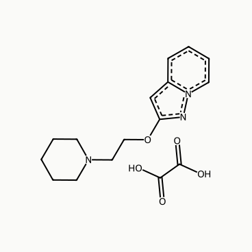 O=C(O)C(=O)O.c1ccn2nc(OCCN3CCCCC3)cc2c1